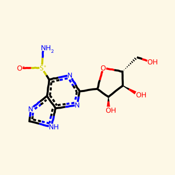 N[S+]([O-])c1nc(C2O[C@H](CO)[C@@H](O)[C@H]2O)nc2[nH]cnc12